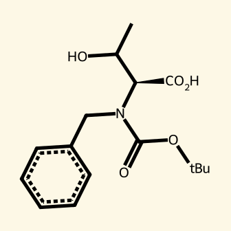 CC(O)[C@@H](C(=O)O)N(Cc1ccccc1)C(=O)OC(C)(C)C